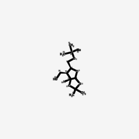 CC1(C)OC2O[C@H](CO[Si](C)(C)C(C)(C)C)[C@H](CO)[C@H]2O1